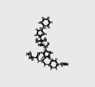 COc1ccc(C[C@@H](CC(=O)NO)n2cc([C@H](C)NS(=O)(=O)c3ccc(-c4ccccn4)s3)nn2)cc1